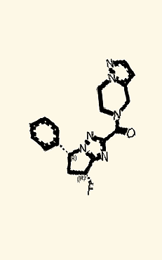 O=C(c1nc2n(n1)[C@@H](c1ccccc1)C[C@H]2F)N1CCn2nccc2C1